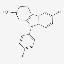 CN1CCc2c(n(-c3ccc(F)cc3)c3ccc(Cl)cc23)C1